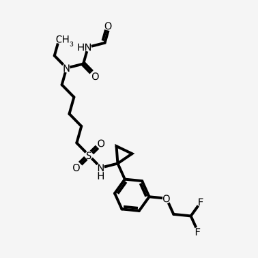 CCN(CCCCCS(=O)(=O)NC1(c2cccc(OCC(F)F)c2)CC1)C(=O)NC=O